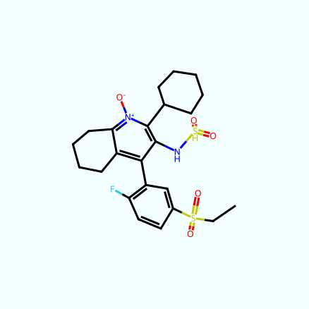 CCS(=O)(=O)c1ccc(F)c(-c2c3c([n+]([O-])c(C4CCCCC4)c2N[SH](=O)=O)CCCC3)c1